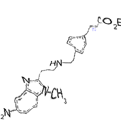 CCOC(=O)/C=C/c1ccc(CNCCc2nc3cc(N)ccc3n2C)cc1